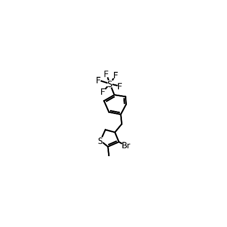 CC1=C(Br)C(Cc2ccc(S(F)(F)(F)(F)F)cc2)CS1